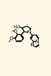 COc1cccc(C2C(O)CCN2c2ccn3ccnc3c2)c1OC